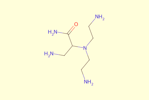 NCCN(CCN)C(CN)C(N)=O